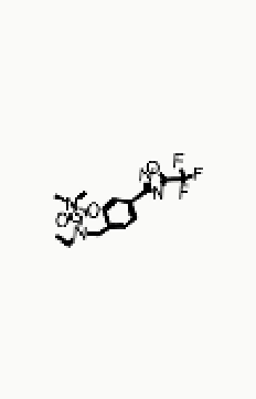 CCN(Cc1ccc(-c2noc(C(F)(F)F)n2)cc1)S(=O)(=O)N(C)C